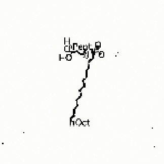 CCCCCCCCC=CCCCCCCCCCCCCC(CCCCC)(P(=O)=O)[N+](C)(C)CCC(O)O